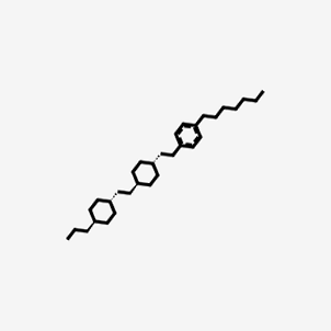 CCCCCCCc1ccc(CC[C@H]2CC[C@H](CC[C@H]3CC[C@H](CCC)CC3)CC2)cc1